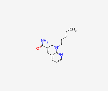 CCCCCN1CC(C(N)=O)=Cc2cccnc21